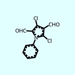 O=Cc1c(Cl)c(C=O)n(-c2ccccc2)c1Cl